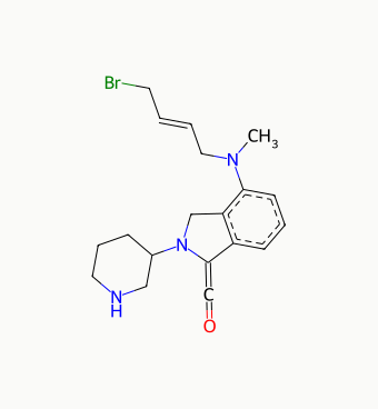 CN(C/C=C/CBr)c1cccc2c1CN(C1CCCNC1)C2=C=O